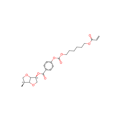 C=CC(=O)OCCCCCCOC(=O)Oc1ccc(C(=O)O[C@H]2COC3C2OC[C@@H]3C)cc1